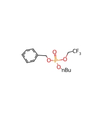 CCCCOP(=O)(OCc1ccccc1)OCC(F)(F)F